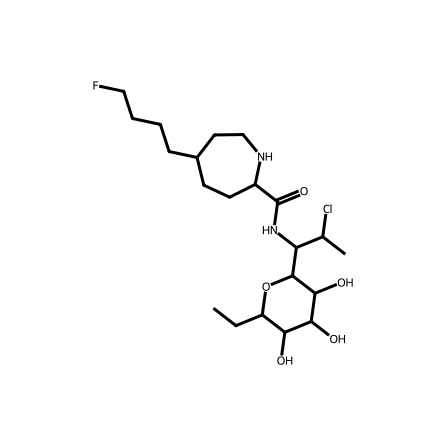 CCC1OC(C(NC(=O)C2CCC(CCCCF)CCN2)C(C)Cl)C(O)C(O)C1O